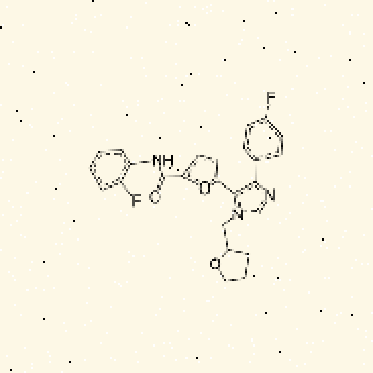 O=C(Nc1ccccc1F)c1ccc(-c2c(-c3ccc(F)cc3)ncn2CC2CCCO2)o1